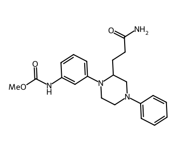 COC(=O)Nc1cccc(N2CCN(c3ccccc3)CC2CCC(N)=O)c1